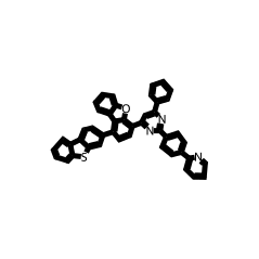 c1ccc(-c2cc(-c3ccc(-c4ccc5c(c4)sc4ccccc45)c4c3oc3ccccc34)nc(-c3ccc(-c4ccccn4)cc3)n2)cc1